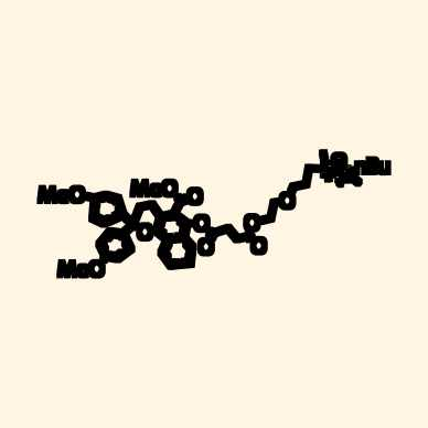 CCCC[Si](C)(C)O[Si](C)(C)CCCOCCOC(=O)CCC(=O)Oc1c(C(=O)OC)c2c(c3ccccc13)OC(c1ccc(OC)cc1)(c1ccc(OC)cc1)CC2